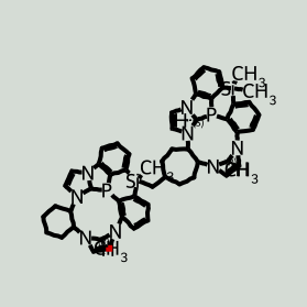 C[C@H]1N2C=CN1C1CCCCC1N1C=CN3c4cccc5c4P(c4c2cccc4[Si]5(C)CC2CCC4C(CC2)N2C=CN(c5cccc6c5P5c7c(cccc7[Si]6(C)C)N6C=CN4[C@@H]65)[C@@H]2C)C31